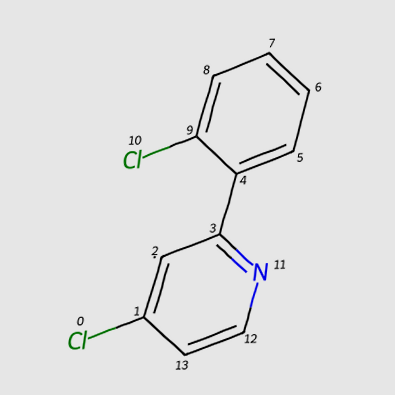 Clc1[c]c(-c2ccccc2Cl)ncc1